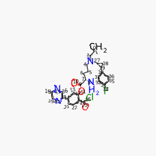 C=CCN(CCC[C@H](N)C(=O)Oc1cc(-c2cnccn2)ccc1C(=O)Cl)[C@@H]1C[C@H]1c1ccc(F)cc1